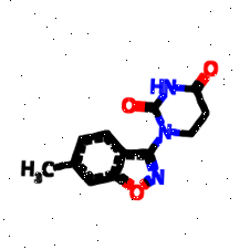 Cc1ccc2c(N3CCC(=O)NC3=O)noc2c1